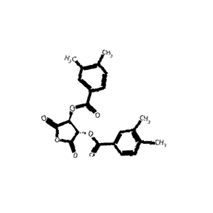 Cc1ccc(C(=O)O[C@@H]2C(=O)OC(=O)[C@H]2OC(=O)c2ccc(C)c(C)c2)cc1C